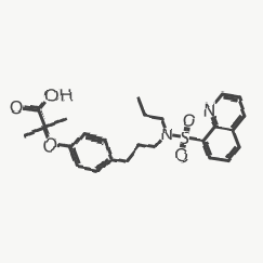 CCCN(CCCc1ccc(OC(C)(C)C(=O)O)cc1)S(=O)(=O)c1cccc2cccnc12